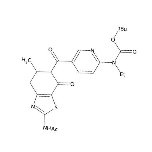 CCN(C(=O)OC(C)(C)C)c1ccc(C(=O)C2C(=O)c3sc(NC(C)=O)nc3CC2C)cn1